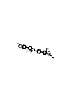 C=CCCOc1ccc(-c2ccc(CCc3ccc(-c4ccc(OCC)cc4)c(F)c3F)cc2)cc1F